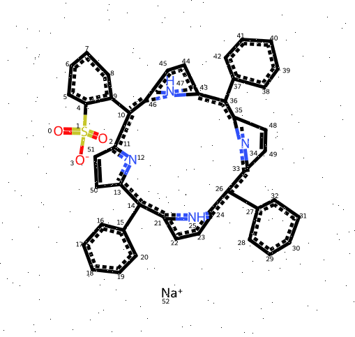 O=S(=O)([O-])c1ccccc1-c1c2nc(c(-c3ccccc3)c3ccc([nH]3)c(-c3ccccc3)c3nc(c(-c4ccccc4)c4ccc1[nH]4)C=C3)C=C2.[Na+]